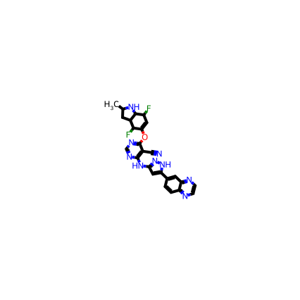 CC1CC2C(F)C(Oc3ncnc(Nc4cc(-c5ccc6nccnc6c5)[nH]n4)c3C#N)=CC(F)C2N1